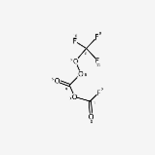 O=C(F)OC(=O)OOC(F)(F)F